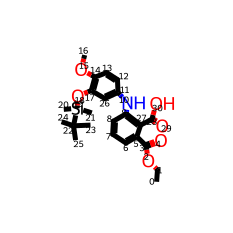 CCOC(=O)c1cccc(Nc2ccc(OC)c(O[Si](C)(C)C(C)(C)C)c2)c1C(=O)O